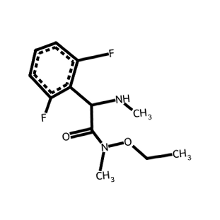 CCON(C)C(=O)C(NC)c1c(F)cccc1F